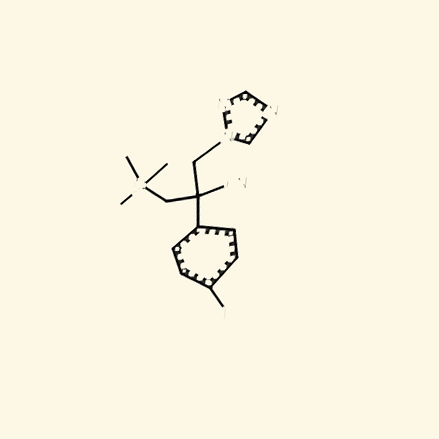 C[Si](C)(C)CC(C#N)(Cn1cncn1)c1ccc(F)cc1